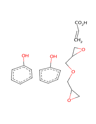 C(OCC1CO1)C1CO1.C=CC(=O)O.Oc1ccccc1.Oc1ccccc1